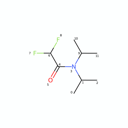 CC(C)N(C(=O)C(F)F)C(C)C